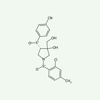 Cc1ccc([S+]([O-])N2C[C@H]([S+]([O-])c3ccc(C#N)cc3)C(O)(CO)C2)c(Cl)c1